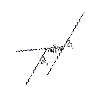 CCCCCCCC/C=C/CCCCCCCCN(CCCCN(CCCCCCCC/C=C/CCCCCCCC)CC(O)CNC(=O)NCC(O)CN(CCCCCCCC/C=C/CCCCCCCC)CCCCN(CCCCCCCC/C=C/CCCCCCCC)CC(C)CN)CC(C)CN